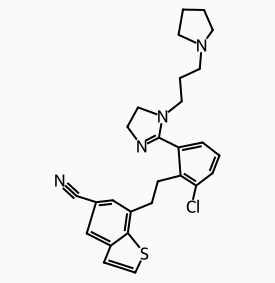 N#Cc1cc(CCc2c(Cl)cccc2C2=NCCN2CCCN2CCCC2)c2sccc2c1